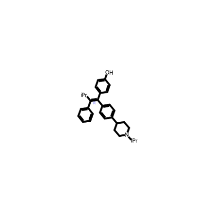 CC(C)/C(=C(\c1ccc(O)cc1)c1ccc(C2CCN(C(C)C)CC2)cc1)c1ccccc1